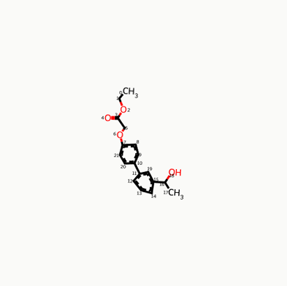 CCOC(=O)COc1ccc(-c2cccc(C(C)O)c2)cc1